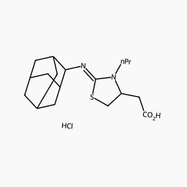 CCCN1C(=NC2C3CC4CC(C3)CC2C4)SCC1CC(=O)O.Cl